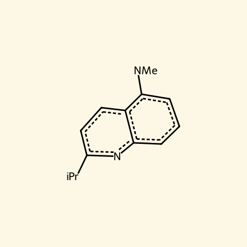 CNc1cccc2nc(C(C)C)ccc12